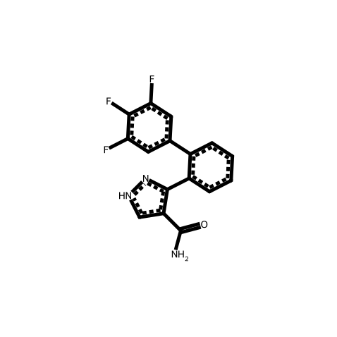 NC(=O)c1c[nH]nc1-c1ccccc1-c1cc(F)c(F)c(F)c1